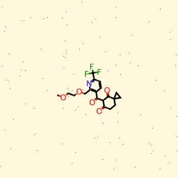 COCCOCc1nc(C(F)(F)F)ccc1C(=O)C1C(=O)CCC2(CC2)C1=O